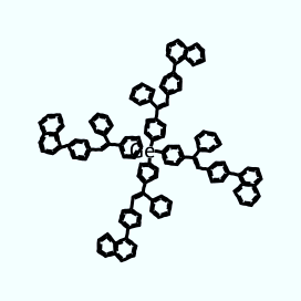 C(=C(c1ccccc1)c1cc[c]([Ge]([c]2ccc(C(=Cc3ccc(-c4cccc5ccccc45)cc3)c3ccccc3)cc2)([c]2ccc(C(=Cc3ccc(-c4cccc5ccccc45)cc3)c3ccccc3)cc2)[c]2ccc(C(=Cc3ccc(-c4cccc5ccccc45)cc3)c3ccccc3)cc2)cc1)c1ccc(-c2cccc3ccccc23)cc1